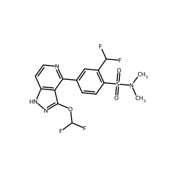 CN(C)S(=O)(=O)c1ccc(-c2nccc3[nH]nc(OC(F)F)c23)cc1C(F)F